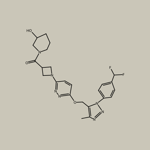 Cc1nnn(-c2ccc(C(F)F)cc2)c1COc1ccc(N2CC(C(=O)N3CCCC(O)C3)C2)nn1